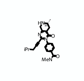 CNC(=O)c1ccc(-n2c(C#CCC(C)C)nc3c(c2=O)C[C@@H](C)NC3)cc1